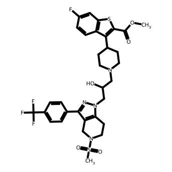 COC(=O)c1sc2cc(F)ccc2c1C1CCN(CC(O)Cn2nc(-c3ccc(C(F)(F)F)cc3)c3c2CCN(S(C)(=O)=O)C3)CC1